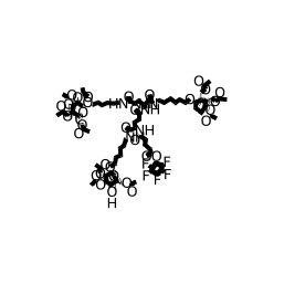 CC(=O)OC[C@@H]1[C@H](COC(C)=O)[C@H](OC(C)=O)CC[C@H]1OCCCCCCNC(=O)C(CCC(=O)NCCCCCCOC1O[C@H](COC(C)=O)[C@@H](OC(C)=O)[C@H](OC(C)=O)[C@@H]1OC(C)=O)NC(=O)CCC(NC(=O)CCCC(=O)Oc1c(F)c(F)c(F)c(F)c1F)C(=O)NCCCCCCO[C@H]1O[C@H](COC(C)=O)[C@@H](O)[C@H](OC(C)=O)[C@@H]1OC(C)=O